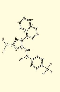 CC(C)(C)c1ccc([S+]([O-])Nc2cc(C(F)F)nn2-c2cccc3ncccc23)cc1